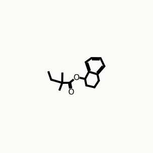 CCC(C)(C)C(=O)OC1CCCc2ccccc21